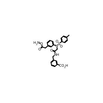 Cc1ccc(S(=O)(=O)N(CC(=O)NCc2cccc(C(=O)O)c2)c2cccc(CC(=O)ON)c2)cc1